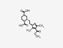 COC(=O)c1c(C)nn(CC[C@@H]2CN(C(=O)O)CCN2C(=O)O)c1C